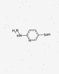 NNc1cc[c]([SnH])cn1